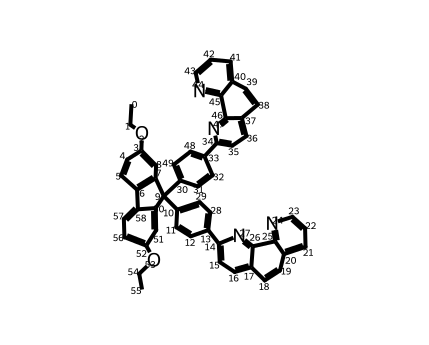 CCOc1ccc2c(c1)C(c1ccc(-c3ccc4ccc5cccnc5c4n3)cc1)(c1ccc(-c3ccc4ccc5cccnc5c4n3)cc1)c1cc(OCC)ccc1-2